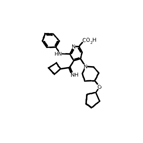 N=C(c1c(N2CCC(OC3CCCC3)CC2)cc(C(=O)O)nc1Nc1ccccc1)C1CCC1